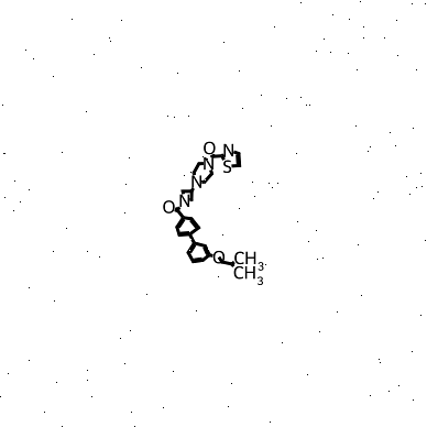 CC(C)COc1cccc(-c2ccc(C(=O)N3CC(N4CCN(C(=O)c5nccs5)CC4)C3)cc2)c1